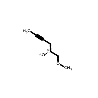 CC#CC[C@@H](O)COC